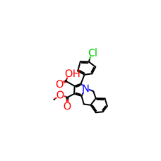 COC(=O)c1c(C(=O)O)c(-c2ccc(Cl)cc2)n2c1Cc1ccccc1C2